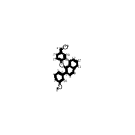 COc1cccc(-c2ccc3ccccc3c2Oc2ccc(C=O)cc2)c1